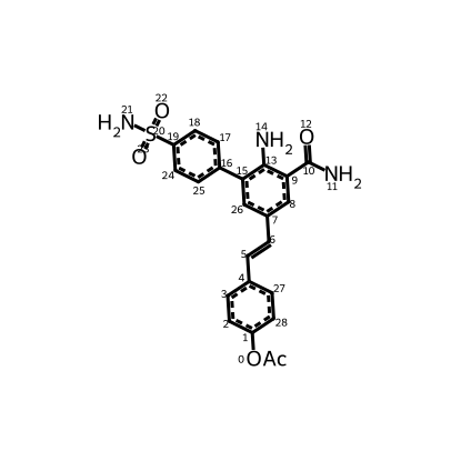 CC(=O)Oc1ccc(C=Cc2cc(C(N)=O)c(N)c(-c3ccc(S(N)(=O)=O)cc3)c2)cc1